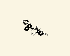 Cc1ccc2c(N)c(C(=O)NCCc3ccc(N4CCNCC4)c4ccccc34)sc2n1